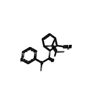 CC(C)=C1C2C=CC1C(C(=O)N(C)c1cccnc1)C2C(=O)O